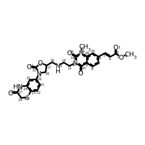 COC(=O)C=Cc1ccc2c(=O)n(CCNCC3CN(c4ccc5c(c4)NC(=O)CS5)C(=O)O3)c(=O)n(C)c2c1